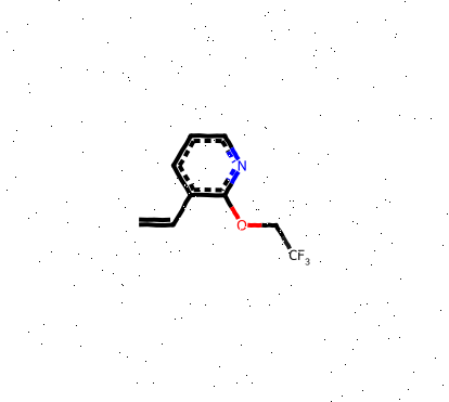 C=Cc1cccnc1OCC(F)(F)F